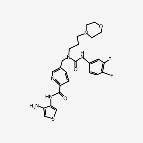 Nc1cscc1NC(=O)c1ccc(CN(CCCN2CCOCC2)C(=O)Nc2ccc(F)c(F)c2)cn1